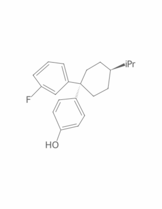 CC(C)[C@H]1CC[C@@](c2ccc(O)cc2)(c2cccc(F)c2)CC1